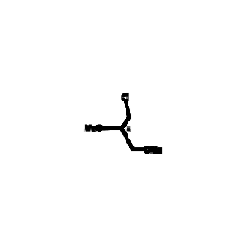 COC[C@H](CCl)OC